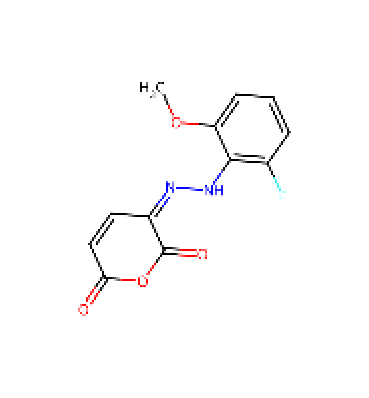 COc1cccc(F)c1NN=C1C=CC(=O)OC1=O